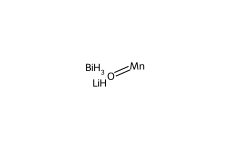 [BiH3].[LiH].[O]=[Mn]